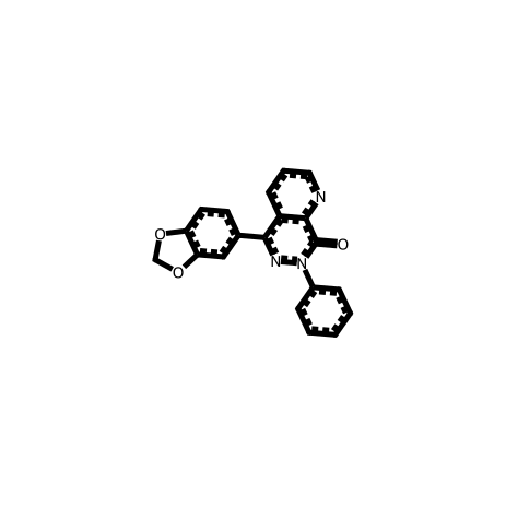 O=c1c2ncccc2c(-c2ccc3c(c2)OCO3)nn1-c1ccccc1